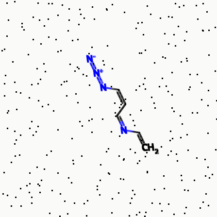 C=C/N=C\C=C/N=[N+]=[N-]